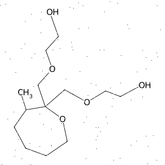 CC1CCCCOC1(COCCO)COCCO